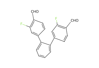 O=Cc1ccc(-c2ccccc2-c2ccc(C=O)c(F)c2)cc1F